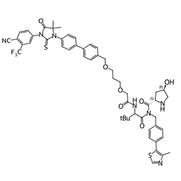 Cc1ncsc1-c1ccc(CN(C(=O)C(NC(=O)COCCCOCc2ccc(-c3ccc(N4C(=S)N(c5ccc(C#N)c(C(F)(F)F)c5)C(=O)C4(C)C)cc3)cc2)C(C)(C)C)C(=O)[C@@H]2C[C@@H](O)CN2)cc1